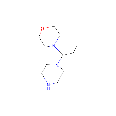 CC[C](N1CCNCC1)N1CCOCC1